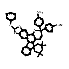 COc1ccc(C2(c3ccc(OC)cc3)C=Cc3c4c(c5cc6c(cc5c3O2)OC(Oc2ccccc2)O6)-c2ccccc2C42CC(C)(C)CC(C)(C)C2)cc1